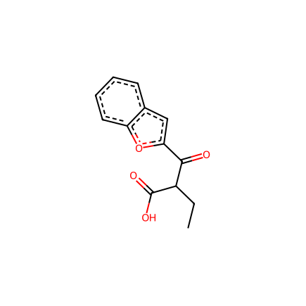 CCC(C(=O)O)C(=O)c1cc2ccccc2o1